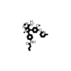 C=CCC(=O)Nc1ccc(-c2c(-c3ccc(Oc4cccc(C)n4)c(OC)c3)c3c(N)ncnc3n2C)cc1